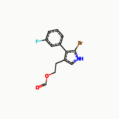 O=COCCc1c[nH]c(Br)c1-c1cccc(F)c1